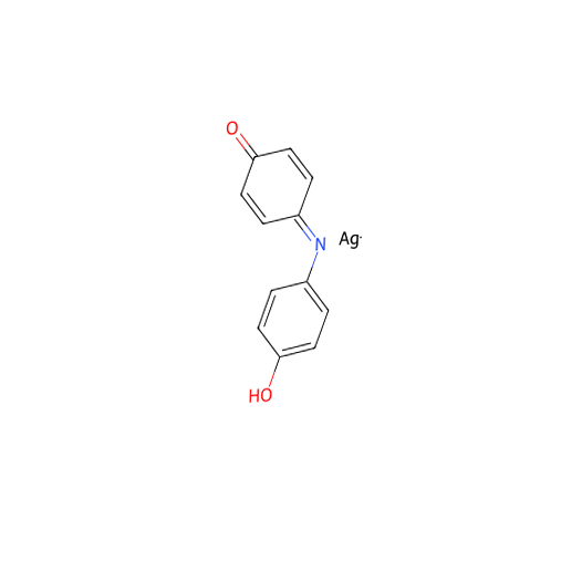 O=C1C=CC(=Nc2ccc(O)cc2)C=C1.[Ag]